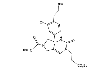 CCOC(=O)CCN1C=C2CN(C(=O)OC(C)(C)C)CC2(c2ccc(CCC(C)(C)C)c(Cl)c2)NC1=O